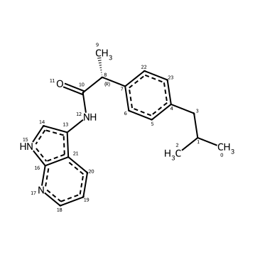 CC(C)Cc1ccc([C@@H](C)C(=O)Nc2c[nH]c3ncccc23)cc1